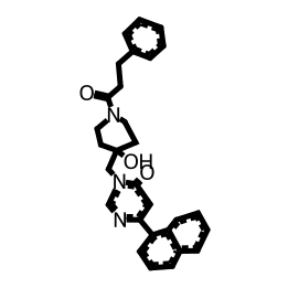 O=C(CCc1ccccc1)N1CCC(O)(Cn2cnc(-c3cccc4ccccc34)cc2=O)CC1